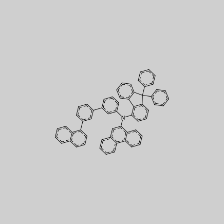 c1ccc(C2(c3ccccc3)c3ccccc3-c3c(N(c4cccc(-c5cccc(-c6cccc7ccccc67)c5)c4)c4cc5ccccc5c5ccccc45)cccc32)cc1